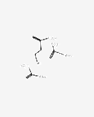 C=C(CCC(C)C)C(=O)O.C=C(CCCCC)C(=O)O.C=C(CCCCCC)C(=O)O